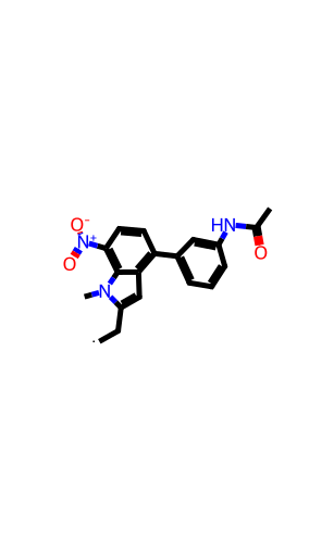 [CH2]Cc1cc2c(-c3cccc(NC(C)=O)c3)ccc([N+](=O)[O-])c2n1C